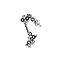 CCC(=O)N1CCN(c2ncnc3c(F)c(-c4c(F)cccc4OCCCCCCCN4CCC(c5cc(F)cc6c5C(=O)N(C5CCC(=O)NC5=O)C6=O)CC4)c(Cl)cc23)CC1